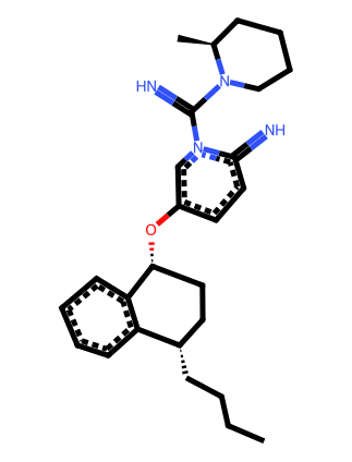 CCCC[C@H]1CC[C@@H](Oc2ccc(=N)n(C(=N)N3CCCC[C@@H]3C)c2)c2ccccc21